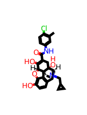 Cc1cc(NC(=O)C2=C(O)[C@@H]3Oc4c(O)ccc5c4[C@@]34CCN(CC3CC3)[C@H](C5)[C@]4(O)C2)ccc1Cl